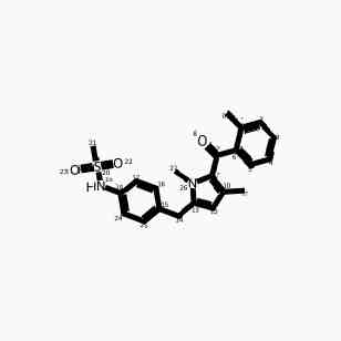 Cc1ccccc1C(=O)c1c(C)cc(Cc2ccc(NS(C)(=O)=O)cc2)n1C